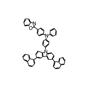 c1ccc(N(c2ccc(-c3nc4ccccc4o3)cc2)c2ccc(-n3c4ccc(-c5cccc6ccccc56)cc4c4cc(-c5cccc6ccccc56)ccc43)cc2)cc1